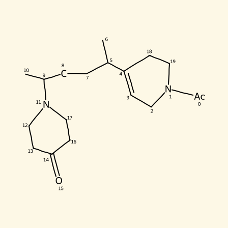 CC(=O)N1CC=C(C(C)CCC(C)N2CCC(=O)CC2)CC1